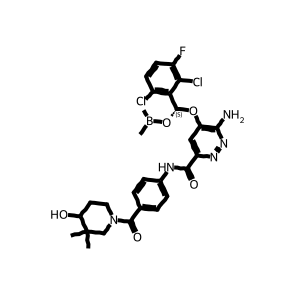 CB(C)O[C@@H](Oc1cc(C(=O)Nc2ccc(C(=O)N3CCC(O)C(C)(C)C3)cc2)nnc1N)c1c(Cl)ccc(F)c1Cl